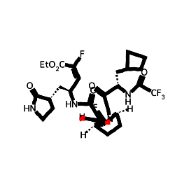 CCOC(=O)/C(F)=C\[C@H](C[C@@H]1CCNC1=O)NC(=O)[C@H]1[C@@H]2CC[C@@H](CC2(F)F)N1C(=O)[C@H](CC1CCC1)NC(=O)C(F)(F)F